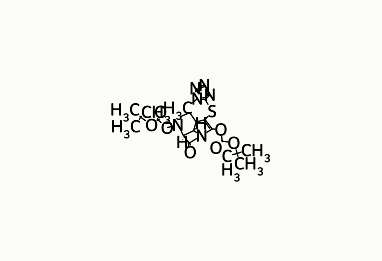 Cn1nnnc1SC1=C(OC(=O)OC(C)(C)C)N2C(=O)[C@@H]3[C@H]2C1CCN3OC(=O)OC(C)(C)C